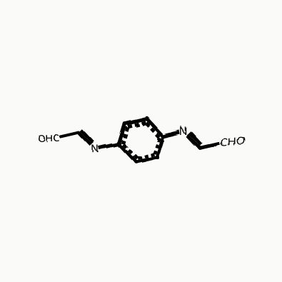 O=CC=Nc1ccc(N=CC=O)cc1